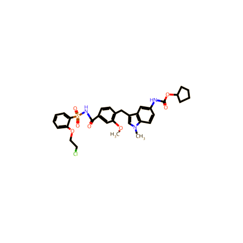 COc1cc(C(=O)NS(=O)(=O)c2ccccc2OCCCl)ccc1Cc1cn(C)c2ccc(NC(=O)OC3CCCC3)cc12